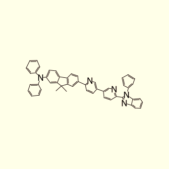 CC1(C)c2cc(-c3ccc(-c4ccc(-c5nc6ccccc6n5-c5ccccc5)nc4)cn3)ccc2-c2ccc(N(c3ccccc3)c3ccccc3)cc21